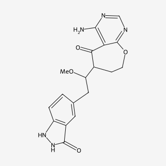 COC(Cc1ccc2[nH][nH]c(=O)c2c1)C1CCOc2ncnc(N)c2C1=O